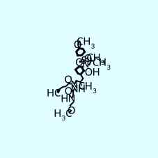 C#CCCC(=O)N(C[C@H](C)Cc1cccc(N(CC(C)C)S(=O)(=O)c2ccc(OC)cc2)c1O)NC(=O)CNCCOC